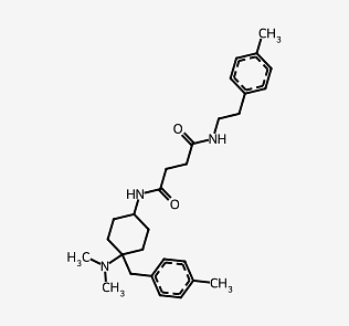 Cc1ccc(CCNC(=O)CCC(=O)NC2CCC(Cc3ccc(C)cc3)(N(C)C)CC2)cc1